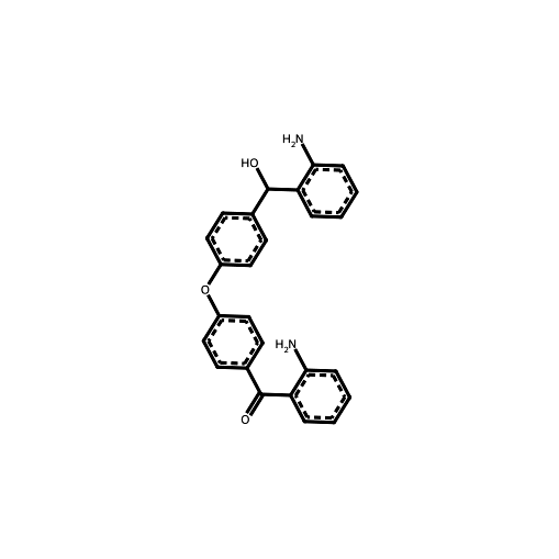 Nc1ccccc1C(=O)c1ccc(Oc2ccc(C(O)c3ccccc3N)cc2)cc1